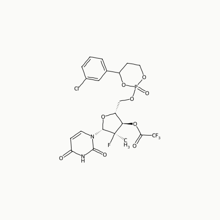 C[C@@]1(F)[C@H](OC(=O)C(F)(F)F)[C@@H](COP2(=O)OCCC(c3cccc(Cl)c3)O2)O[C@H]1n1ccc(=O)[nH]c1=O